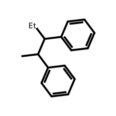 [CH2]CC(c1ccccc1)C(C)c1ccccc1